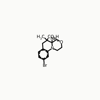 CC1(C(=O)O)Cc2ccc(Br)cc2N2CCOCC21N